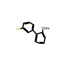 COc1c[c]ccc1-c1cccc(F)c1